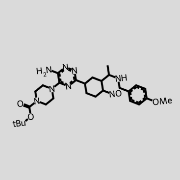 COc1ccc(CNC(C)C2CC(c3nnc(N)c(N4CCN(C(=O)OC(C)(C)C)CC4)n3)CCC2N=O)cc1